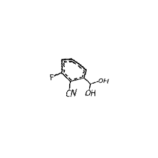 N#Cc1c(F)cccc1C(O)O